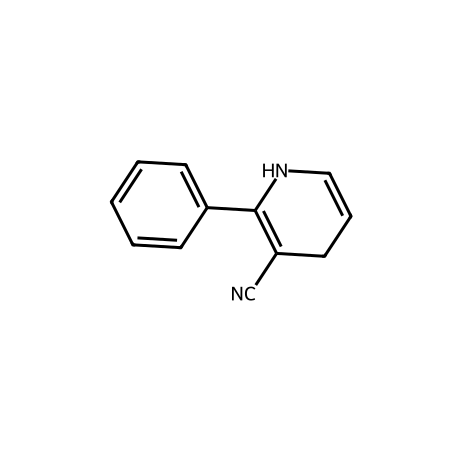 N#CC1=C(c2ccccc2)NC=CC1